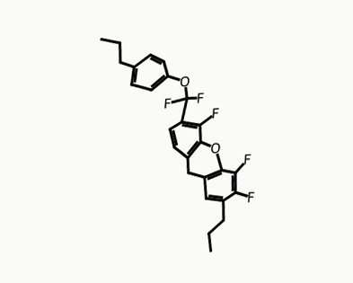 CCCc1ccc(OC(F)(F)c2ccc3c(c2F)Oc2c(cc(CCC)c(F)c2F)C3)cc1